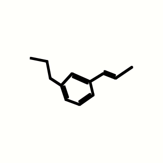 CC=Cc1cccc(CCC)c1